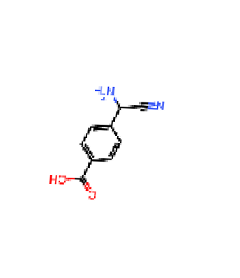 N#CC(N)c1ccc(C(=O)O)cc1